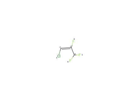 F/C(=C/Cl)C(F)F